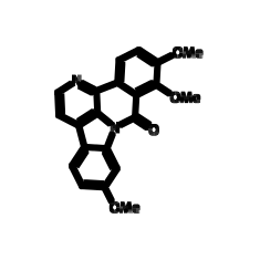 COc1ccc2c3ccnc4c5ccc(OC)c(OC)c5c(=O)n(c2c1)c34